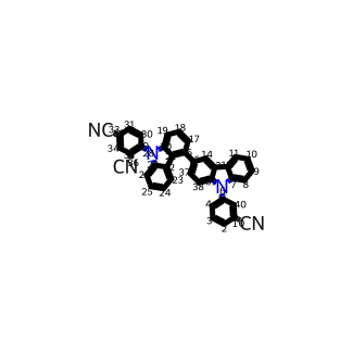 N#Cc1cccc(-n2c3ccccc3c3cc(-c4cccc5c4c4ccccc4n5-c4ccc(C#N)cc4C#N)ccc32)c1